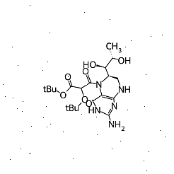 C[C@H](O)[C@H](O)[C@H]1CNc2nc(N)[nH]c(=O)c2N1C(=O)C(OC(C)(C)C)C(=O)OC(C)(C)C